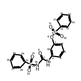 O=C(Nc1cccc(OS(=O)(=O)c2ccccc2)c1)NS(=O)(=O)c1ccccc1